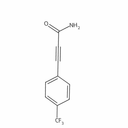 NC(=O)C#Cc1ccc(C(F)(F)F)cc1